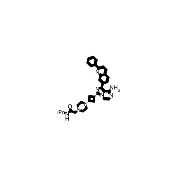 CC(C)NC(=O)CN1CCN([C@H]2C[C@@H](c3nc(-c4ccc5ccc(-c6ccccc6)nc5c4)c4c(N)nccn43)C2)CC1